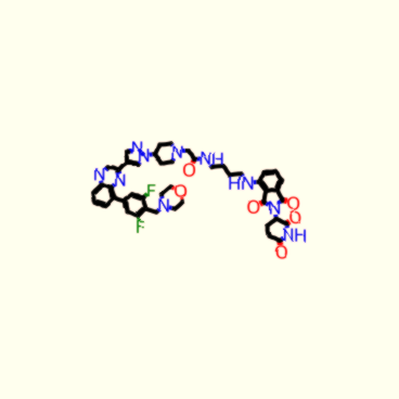 O=C(CN1CCC(n2cc(-c3cnc4cccc(-c5cc(F)c(CN6CCOCC6)c(F)c5)c4n3)cn2)CC1)NCCCCNc1cccc2c1C(=O)N(C1CCC(=O)NC1=O)C2=O